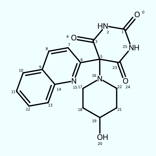 O=C1NC(=O)C(c2ccc3ccccc3n2)(N2CCC(O)CC2)C(=O)N1